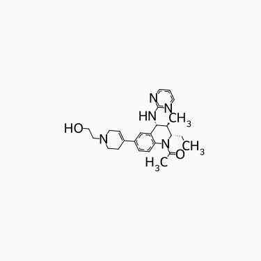 CC[C@H]1[C@H](C)[C@@H](Nc2ncccn2)c2cc(C3=CCN(CCO)CC3)ccc2N1C(C)=O